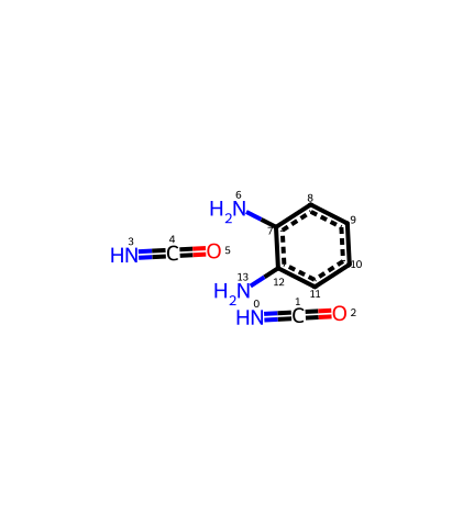 N=C=O.N=C=O.Nc1ccccc1N